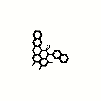 Cc1cc(C)c2c(C)cc3c4c2c1C(c1ccc2ccccc2c1)C(=O)C4c1cc2ccccc2cc1C3